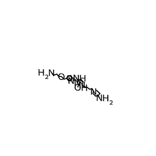 NCCCOCc1ccc(NC2=NC(O)N(CCCCN3CCC(N)CC3)C=C2)nc1